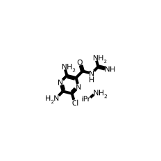 CC(C)N.N=C(N)NC(=O)c1nc(Cl)c(N)nc1N